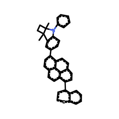 CC12CCC1(C)N(c1ccccc1)c1ccc(-c3ccc4ccc5c(-c6cccc7ccccc67)ccc6ccc3c4c65)cc12